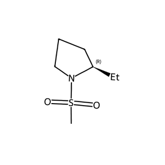 CC[C@@H]1CCCN1S(C)(=O)=O